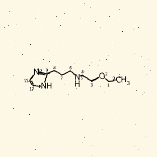 CCOCCNCCCc1ncc[nH]1